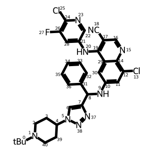 CC(C)(C)N1CCC(n2cc(C(Nc3cc(Cl)c4ncc(C#N)c(Nc5cnc(Cl)c(F)c5)c4c3)c3ccccc3)nn2)CC1